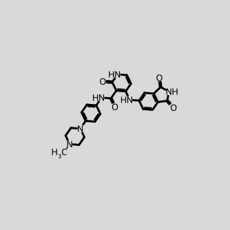 CN1CCN(c2ccc(NC(=O)c3c(Nc4ccc5c(c4)C(=O)NC5=O)cc[nH]c3=O)cc2)CC1